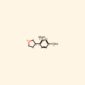 COc1ccc(C2CCOC2)cc1.[MgH2]